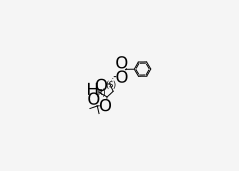 CC1(C)OC2C[C@@H](COC(=O)c3ccccc3)O[C@@H]2O1